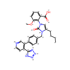 CCCCc1cn(-c2c(OC)cccc2C(=O)O)c(=O)n1Cc1ccc(-c2cnccc2-c2nnn[nH]2)cc1